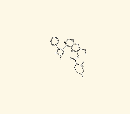 COc1cc2ncnc(-c3cn(C)nc3-c3ccccc3)c2nc1OC(=O)N1CCN(C)C[C@@H]1C